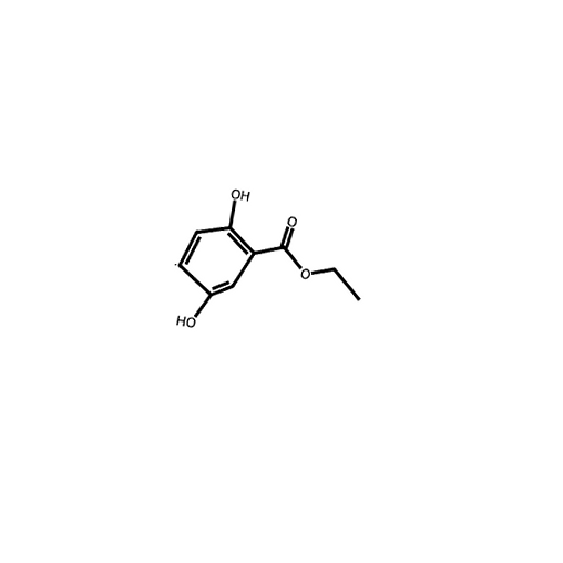 CCOC(=O)c1cc(O)[c]cc1O